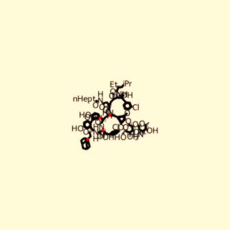 CCCCCCCC(=O)NC(=O)C[C@@H]1CC(=O)[C@H](NC(=O)[C@H](CC)CC(C)C)[C@H](O)c2ccc(c(Cl)c2)Oc2cc3cc(c2O[C@@H]2O[C@H](CO)[C@@H](O)[C@H](O)[C@H]2O[C@H]2C[C@](C)(N)[C@H](O)[C@H](C)O2)Oc2ccc(cc2Cl)[C@H](O)[C@H]2NC(=O)[C@H](CC(=O)[C@@H]3NC1=O)c1ccc(O)c(c1)-c1c(O)cc(O)cc1[C@@H](C(=O)CC1C3CC4CC(C3)CC1C4)NC2=O